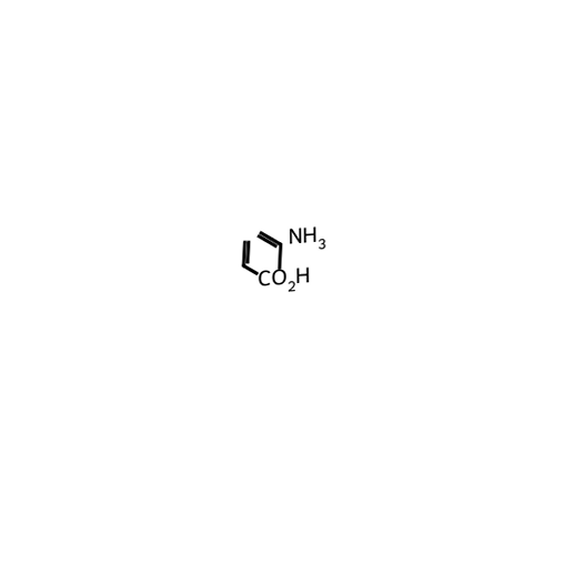 C=CC.C=CC(=O)O.N